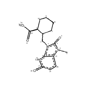 Cn1c(=O)n(CC2CCCCC2C(=O)O)c2[nH]c(=O)ccc21